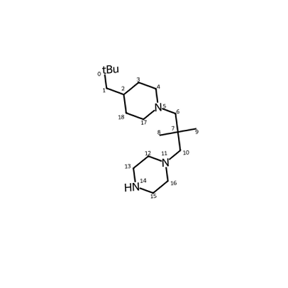 CC(C)(C)CC1CCN(CC(C)(C)CN2CCNCC2)CC1